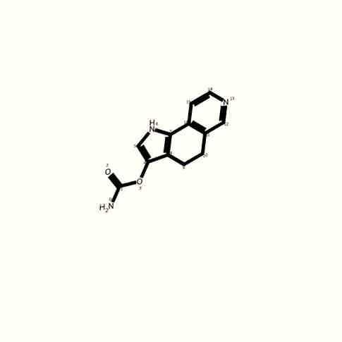 NC(=O)Oc1c[nH]c2c1CCc1cnccc1-2